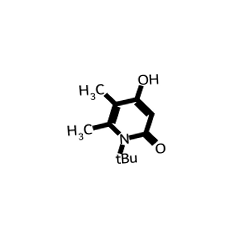 Cc1c(O)cc(=O)n(C(C)(C)C)c1C